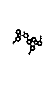 CC1C=CC(c2ccc(-c3cc(C#N)ccc3-n3c4ccccc4c4c(C#N)cccc43)cc2)=CC1n1c2ccccc2c2cc(C#N)ccc21